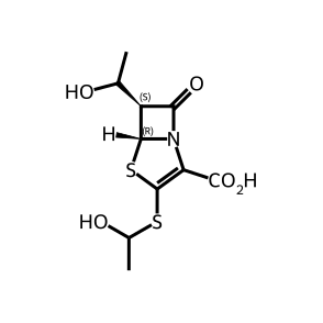 CC(O)SC1=C(C(=O)O)N2C(=O)[C@H](C(C)O)[C@H]2S1